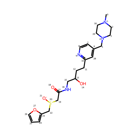 CN1CCN(Cc2ccnc(CCC(O)CNC(=O)C[S+]([O-])Cc3ccco3)c2)CC1